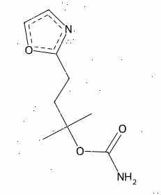 CC(C)(CCc1ncco1)OC(N)=O